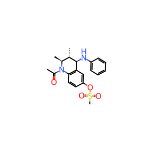 CC(=O)N1c2ccc(OS(C)(=O)=O)cc2[C@H](Nc2ccccc2)[C@@H](C)[C@@H]1C